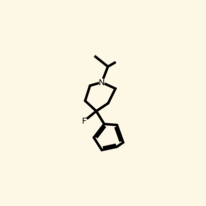 CC(C)N1CCC(F)(c2ccccc2)CC1